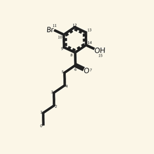 CCCCCCC(=O)c1cc(Br)ccc1O